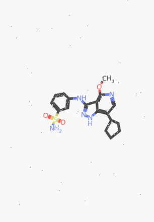 COc1ncc(C2CCCC2)c2[nH]nc(Nc3cccc(S(N)(=O)=O)c3)c12